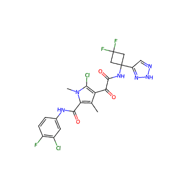 Cc1c(C(=O)C(=O)NC2(c3cn[nH]n3)CC(F)(F)C2)c(Cl)n(C)c1C(=O)Nc1ccc(F)c(Cl)c1